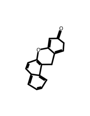 O=C1C=C2Oc3ccc4ccccc4c3CC2=CC1